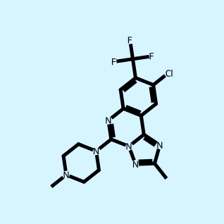 Cc1nc2c3cc(Cl)c(C(F)(F)F)cc3nc(N3CCN(C)CC3)n2n1